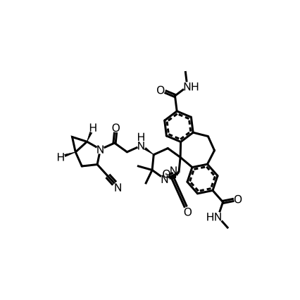 CNC(=O)c1ccc2c(c1)CCc1cc(C(=O)NC)ccc1C21C[C@H](NCC(=O)N2C(C#N)C[C@@H]3C[C@@H]32)C(C)(C)n2oc(=O)nc21